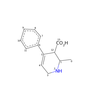 CC1NCC=C(c2ccccc2)C1C(=O)O